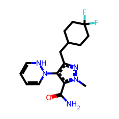 Cn1nc(CC2CCC(F)(F)CC2)c(N2C=CC=CN2)c1C(N)=O